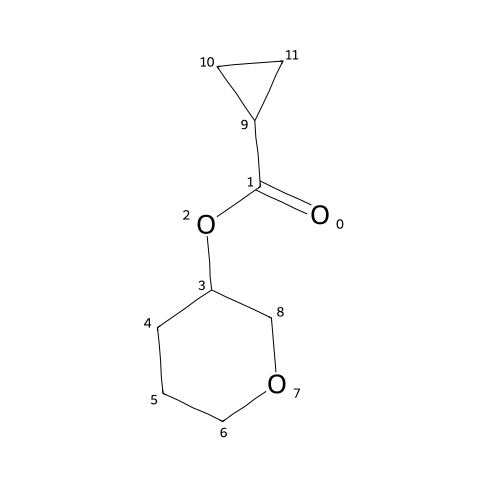 O=C(OC1CCCOC1)C1CC1